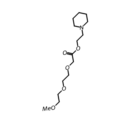 COCCOCCOCC(=O)OCCN1CCCCC1